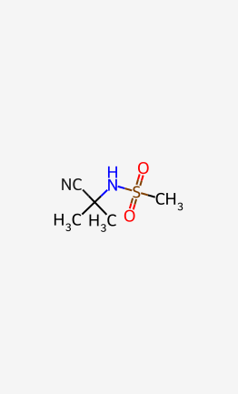 CC(C)(C#N)NS(C)(=O)=O